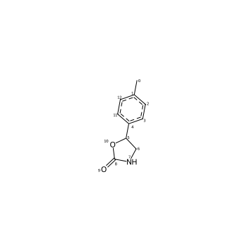 Cc1ccc(C2CNC(=O)O2)cc1